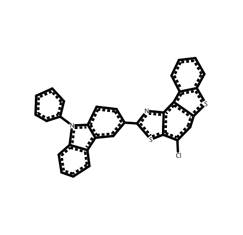 Clc1cc2sc3ccccc3c2c2nc(-c3ccc4c(c3)c3ccccc3n4-c3ccccc3)sc12